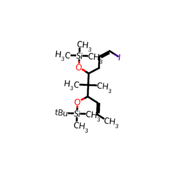 C/C=C/C(O[Si](C)(C)C(C)(C)C)C(C)(C)C(C/C=C\I)O[Si](C)(C)C